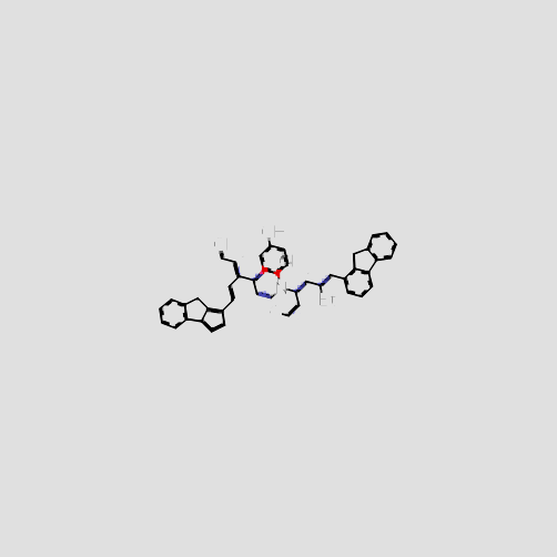 C=C/C=C(C=CC1=C2Cc3ccccc3C2=C=C1)/C(/C=C\N(C(/C=C\C)=C/C(=C/c1cccc2c1Cc1ccccc1-2)CC)c1ccc(C)cc1)=C/C=C